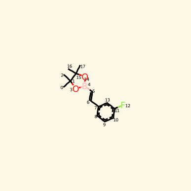 CC1(C)OB(C=Cc2cccc(F)c2)OC1(C)C